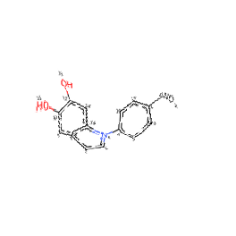 O=[N+]([O-])c1ccc(-n2ccc3cc(O)c(O)cc32)cc1